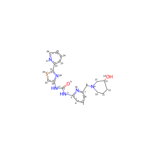 O=C(Nc1cccc(CN2CCCC(O)C2)n1)Nc1csc(-c2ccccn2)n1